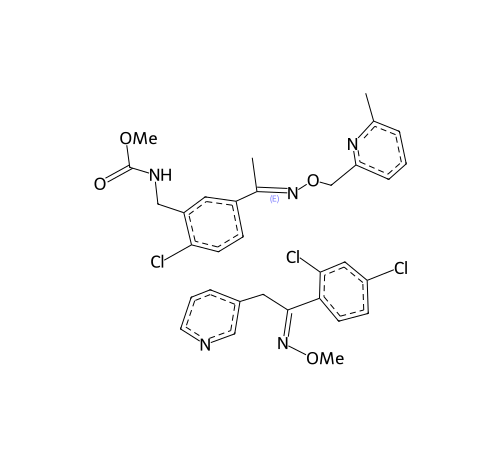 COC(=O)NCc1cc(/C(C)=N/OCc2cccc(C)n2)ccc1Cl.CON=C(Cc1cccnc1)c1ccc(Cl)cc1Cl